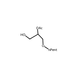 CCCCCOCC(CO)OC(C)=O